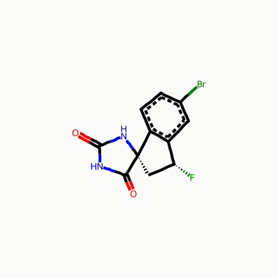 O=C1NC(=O)[C@@]2(C[C@@H](F)c3cc(Br)ccc32)N1